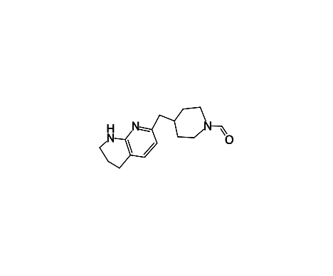 O=CN1CCC(Cc2ccc3c(n2)NCCC3)CC1